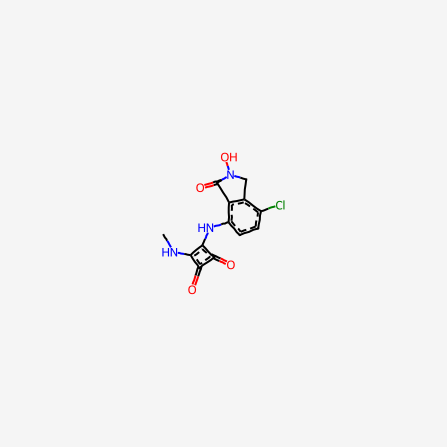 CNc1c(Nc2ccc(Cl)c3c2C(=O)N(O)C3)c(=O)c1=O